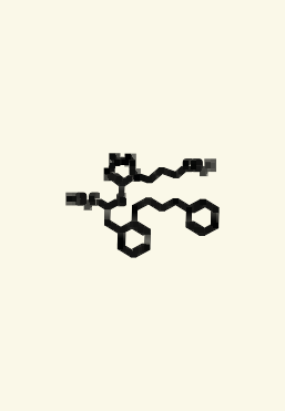 O=C(O)CCCn1nnnc1SC(Cc1ccccc1CCCCc1ccccc1)C(=O)O